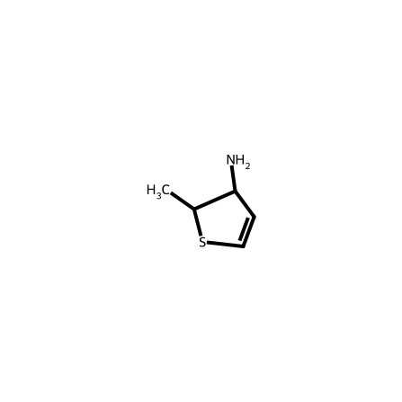 CC1SC=CC1N